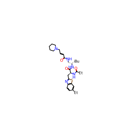 CCC(=O)N[C@@H](Cc1nc2ccc(CC)cc2s1)C(=O)N[C@H](CNC(=O)/C=C/CN1CCCCC1)[C@@H](C)CC